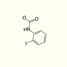 [O]C(=O)Nc1ccccc1I